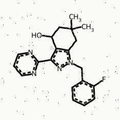 CC1(C)Cc2c(c(-c3ncccn3)nn2Cc2ccccc2F)C(O)C1